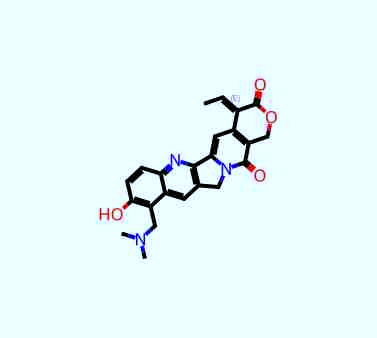 C/C=C1/C(=O)OCc2c1cc1n(c2=O)Cc2cc3c(CN(C)C)c(O)ccc3nc2-1